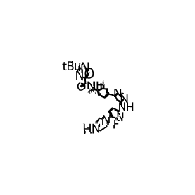 Cc1cc(-c2cc(Nc3ccc(N4CCNCC4)c(F)n3)ncn2)ccc1[C@@H](C)NC(=O)c1nc(C(C)(C)C)no1